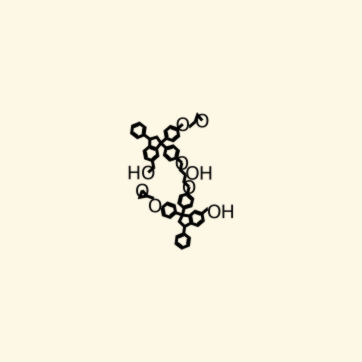 OCc1ccc2c(c1)C(c1ccc(OCC(O)COc3ccc(C4(c5ccc(OCC6CO6)cc5)CC(c5ccccc5)c5ccc(CO)cc54)cc3)cc1)(c1ccc(OCC3CO3)cc1)CC2c1ccccc1